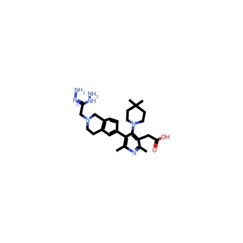 Cc1nc(C)c(-c2ccc3c(c2)CCN(C/C(=N/N)NN)C3)c(N2CCC(C)(C)CC2)c1CC(=O)O